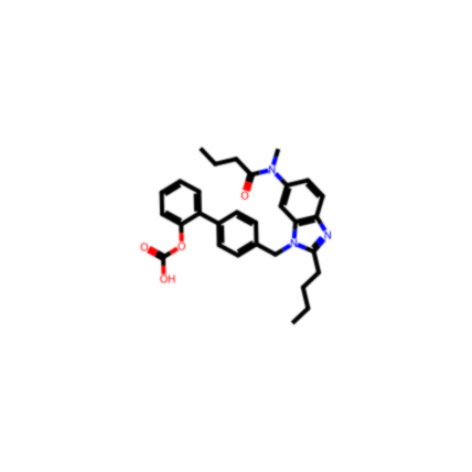 CCCCc1nc2ccc(N(C)C(=O)CCC)cc2n1Cc1ccc(-c2ccccc2OC(=O)O)cc1